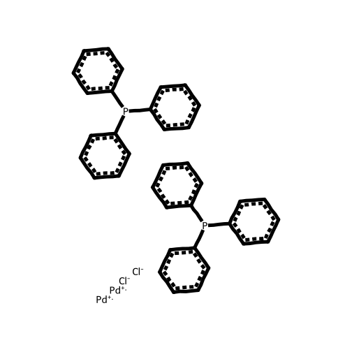 [Cl-].[Cl-].[Pd+].[Pd+].c1ccc(P(c2ccccc2)c2ccccc2)cc1.c1ccc(P(c2ccccc2)c2ccccc2)cc1